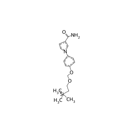 C[Si](C)(C)CCOCOc1ccc(-n2ccc(C(N)=O)c2)cc1